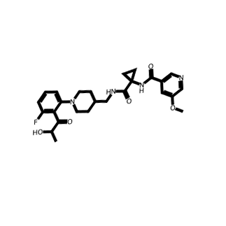 COc1cncc(C(=O)NC2(C(=O)NCC3CCN(c4cccc(F)c4C(=O)C(C)O)CC3)CC2)c1